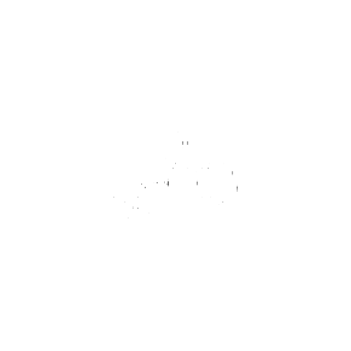 COC(C)(N=NC(C)(C)C)c1ccccc1